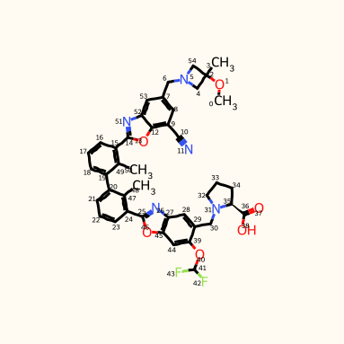 COC1(C)CN(Cc2cc(C#N)c3oc(-c4cccc(-c5cccc(-c6nc7cc(CN8CCC[C@H]8C(=O)O)c(OC(F)F)cc7o6)c5C)c4C)nc3c2)C1